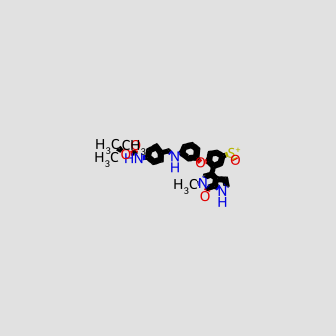 Cn1cc(-c2cc([S+]=O)ccc2Oc2cccc(NCc3ccc(NC(=O)OC(C)(C)C)cc3)c2)c2cc[nH]c2c1=O